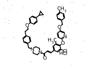 Cc1ccc(COc2ccc(Oc3c(C)cc(C=CC(=O)N4CCN(Cc5ccc(CCOc6ccc(C7CC7)cc6)cc5)CC4)cc3Cl)nc2)cc1.Cl